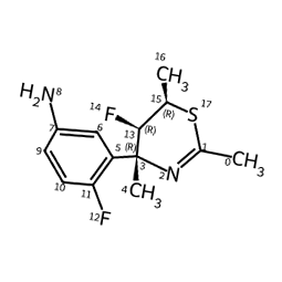 CC1=N[C@](C)(c2cc(N)ccc2F)[C@@H](F)[C@@H](C)S1